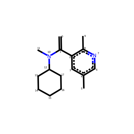 C=C(c1cc(C)cnc1C)N(C)C1CCCCC1